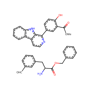 COC(=O)c1cc(-c2nccc3c2[nH]c2ccccc23)ccc1O.NC(Cc1cccc(C=O)c1)C(=O)OCc1ccccc1